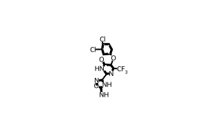 N=c1[nH]c(-c2nc(C(F)(F)F)c(Oc3ccc(Cl)c(Cl)c3)c(=O)[nH]2)no1